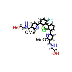 COc1nc(-c2ccc(F)c(-c3c(F)ccc(-c4ccc(CNCCO)c(OC)n4)c3Cl)c2Cl)ccc1CNCCO